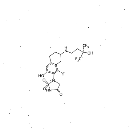 O=C1CN(c2c(O)cc3c(c2F)CC(NCCC(O)(C(F)(F)F)C(F)(F)F)CC3)S(=O)(=O)N1